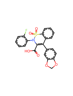 O=C(O)C1=C(c2ccc3c(c2)OCO3)c2ccccc2S(=O)(=O)N1c1ccccc1F